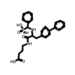 O=C(O)CCCNC(=O)C(Cc1ccc(-c2ccccc2)cc1)NC(c1ccccc1)P(=O)(O)O